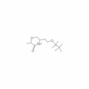 CC1OCC(CCO[Si](C)(C)C(C)(C)C)NC1=O